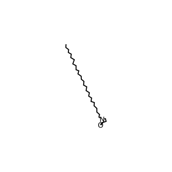 CCCCCCCCCCCCCCCCCCCCCCCCCCCCN1CCC1=O